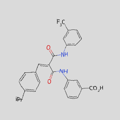 CC(C)c1ccc(/C=C(\C(=O)Nc2cccc(C(=O)O)c2)C(=O)Nc2cccc(C(F)(F)F)c2)cc1